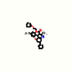 CC(=O)Oc1ccc(C2C(C(=O)OCCOc3ccccc3)=C(C)NC3=C2C(=O)CC(c2ccccc2)C3)cc1